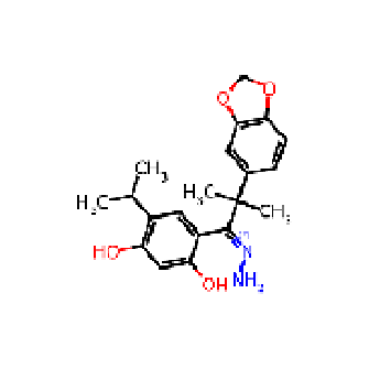 CC(C)c1cc(/C(=N\N)C(C)(C)c2ccc3c(c2)OCO3)c(O)cc1O